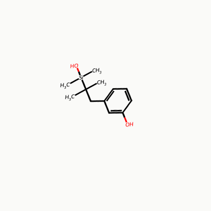 CC(C)(Cc1cccc(O)c1)[Si](C)(C)O